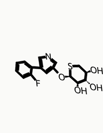 O[C@@H]1[C@@H](O)[C@@H](Oc2cncc(-c3ccccc3F)c2)SC[C@H]1O